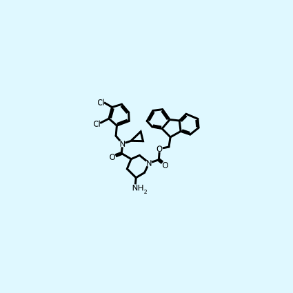 NC1CC(C(=O)N(Cc2cccc(Cl)c2Cl)C2CC2)CN(C(=O)OCC2c3ccccc3-c3ccccc32)C1